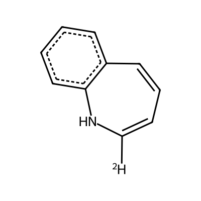 [2H]C1=CC=Cc2ccccc2N1